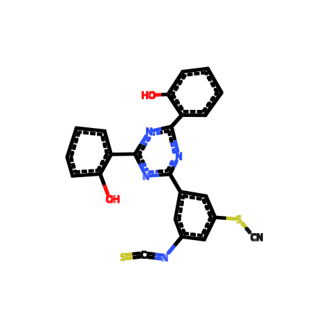 N#CSc1cc(N=C=S)cc(-c2nc(-c3ccccc3O)nc(-c3ccccc3O)n2)c1